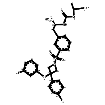 CC(=O)OC(C)OC(=O)N[C@@H](Cc1cccc(S(=O)(=O)N2CC(Oc3cccc(F)c3)(c3ccc(F)cc3)C2)c1)C(=O)O